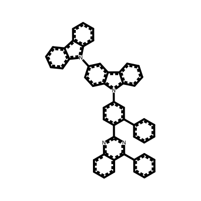 c1ccc(-c2cc(-n3c4ccccc4c4cc(-n5c6ccccc6c6ccccc65)ccc43)ccc2-c2nc(-c3ccccc3)c3ccccc3n2)cc1